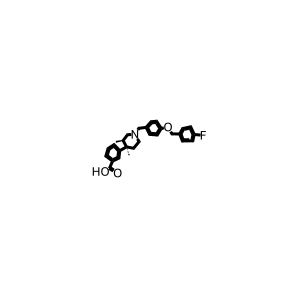 C[C@H]1CN(Cc2ccc(OCc3ccc(F)cc3)cc2)CC[C@@]1(C)c1cccc(C(=O)O)c1